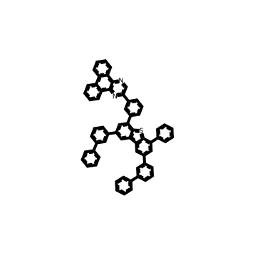 c1ccc(-c2cccc(-c3cc(-c4ccccc4)c4sc5c(-c6cccc(-c7cnc8c9ccccc9c9ccccc9c8n7)c6)cc(-c6cccc(-c7ccccc7)c6)cc5c4c3)c2)cc1